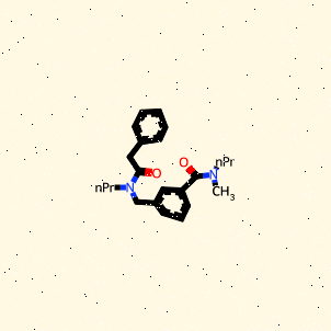 CCCN(C)C(=O)c1cccc(CN(CCC)C(=O)Cc2ccccc2)c1